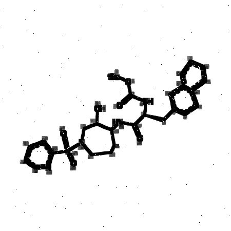 CC(C)(C)OC(=O)N[C@@H](Cc1ccc2ccccc2c1)C(=O)NC1CCCN(S(=O)(=O)c2ccccn2)CC1O